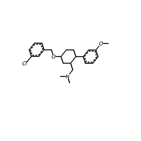 COc1cccc(C2CCC(OCc3cccc(Cl)c3)CC2CN(C)C)c1